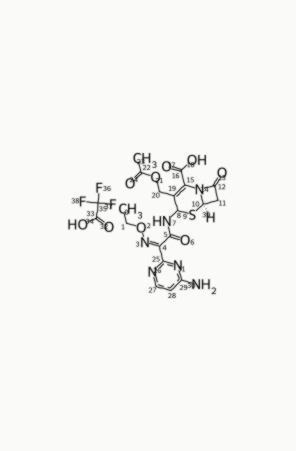 CCON=C(C(=O)NC1S[C@@H]2CC(=O)N2C(C(=O)O)=C1COC(C)=O)c1nccc(N)n1.O=C(O)C(F)(F)F